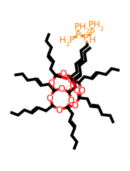 CCC/C=C/CC1OC2(C/C=C/CCC)OC3(C/C=C/CCC)OC(C/C=C/CCC)OC4(C/C=C/CCC)OC(C/C=C/CCC)(O1)OC(C/C=C/CCCC)(O2)OC(C/C=C/CCP(PP)P(P)P)(O3)O4